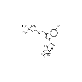 C[Si](C)(C)CCOCn1nc(C(=O)N[C@H]2CN3CCC2CC3)c2ccc(Br)cc21